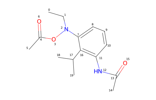 CCN(OC(C)=O)c1cccc(NC(C)=O)c1C(C)C